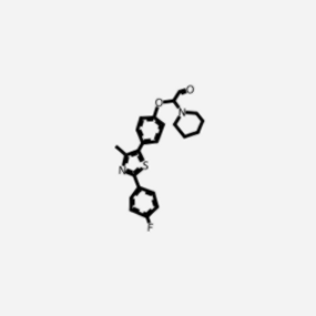 Cc1nc(-c2ccc(F)cc2)sc1-c1ccc(OC(C=O)N2CCCCC2)cc1